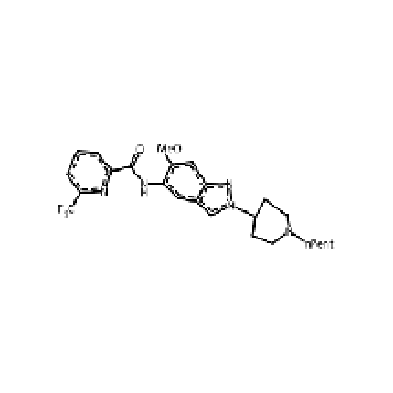 CCCCCN1CCC(n2cc3cc(NC(=O)c4cccc(C(F)(F)F)n4)c(OC)cc3n2)CC1